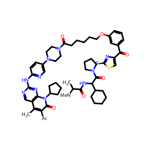 CNC(C)C(=O)NC(C(=O)N1CCC[C@H]1c1nc(C(=O)c2cccc(OCCCCCC(=O)N3CCN(c4ccc(Nc5ncc6c(C)c(C(C)=O)c(=O)n(C7CCCC7)c6n5)nc4)CC3)c2)cs1)C1CCCCC1